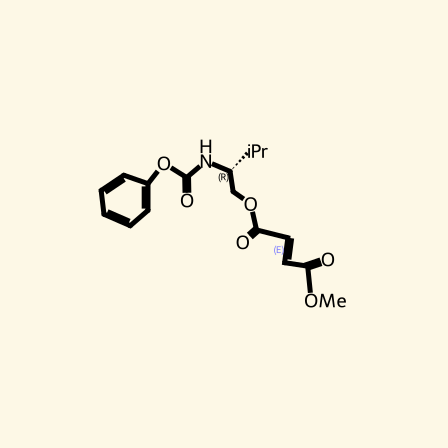 COC(=O)/C=C/C(=O)OC[C@H](NC(=O)Oc1ccccc1)C(C)C